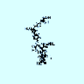 C[n+]1cc(-c2ccc(OC[C@H](O/N=C(/C(=O)N[C@@H]3C(=O)N(OS(=O)(=O)O)C3(C)C)c3csc(N)n3)C(=O)O)cc2)cn1CCCNC[C@H](O)CO